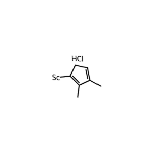 CC1=CC[C]([Sc])=C1C.Cl